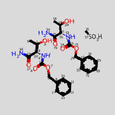 CC(O)[C@H](NC(=O)OCc1ccccc1)C(N)=O.CC(O)[C@H](NC(=O)OCc1ccccc1)C(N)=O.CS(=O)(=O)O